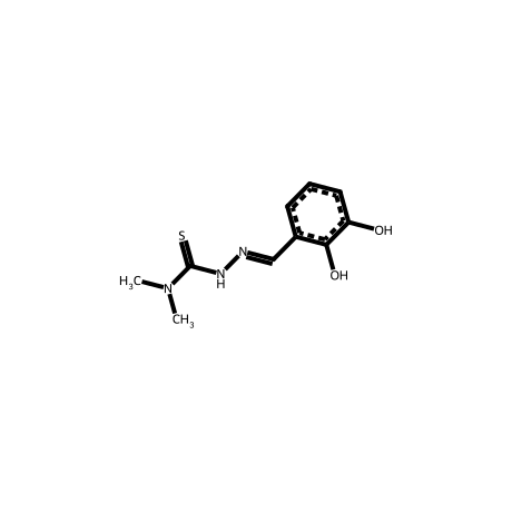 CN(C)C(=S)NN=Cc1cccc(O)c1O